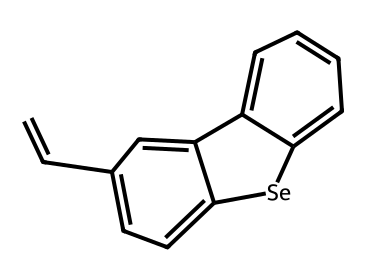 C=Cc1ccc2[se]c3ccccc3c2c1